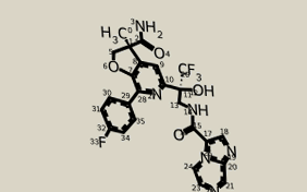 C[C@]1(C(N)=O)COc2c1cc([C@@](O)(CNC(=O)c1cnc3cnccn13)C(F)(F)F)nc2-c1ccc(F)cc1